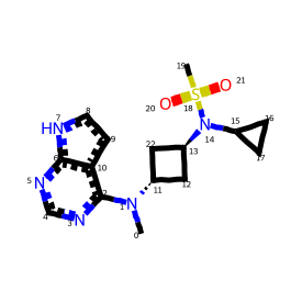 CN(c1ncnc2[nH]ccc12)[C@H]1C[C@H](N(C2CC2)S(C)(=O)=O)C1